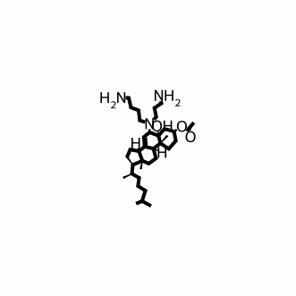 CC(=O)O[C@H]1CC[C@]2(C)[C@H]3CC[C@]4(C)[C@@H]([C@H](C)CCCC(C)C)CC[C@H]4C3=C[C@@H](N(CCCN)CCCCN)[C@@]2(O)C1